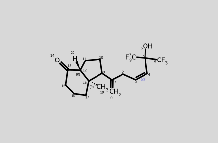 C=C(C/C=C\C(O)(C(F)(F)F)C(F)(F)F)C1CC[C@H]2C(=O)CCC[C@]12C